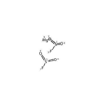 O=[S-](=O)F.O=[S-](=O)F.[Mg+2]